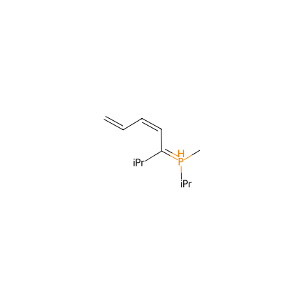 C=C/C=C\C(C(C)C)=[PH](/C)C(C)C